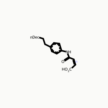 CCCCCCCCCCCCc1ccc(NC(=O)/C=C\C(=O)O)cc1